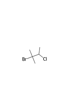 CC(Cl)C(C)(C)Br